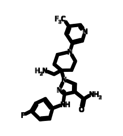 NCC1(n2cc(C(N)=O)c(Nc3ccc(F)cc3)n2)CCN(c2cncc(C(F)(F)F)c2)CC1